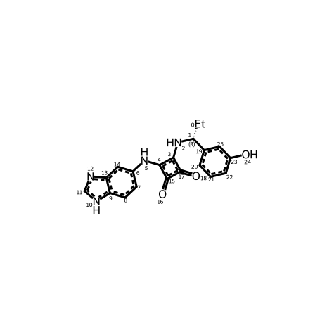 CC[C@@H](Nc1c(Nc2ccc3[nH]cnc3c2)c(=O)c1=O)c1cccc(O)c1